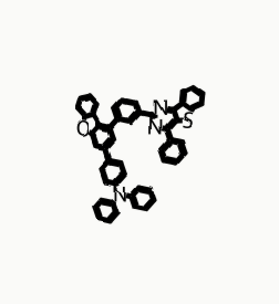 c1ccc(-c2nc(-c3cccc(-c4cc(-c5ccc(N(c6ccccc6)c6ccccc6)cc5)cc5oc6ccccc6c45)c3)nc3c2sc2ccccc23)cc1